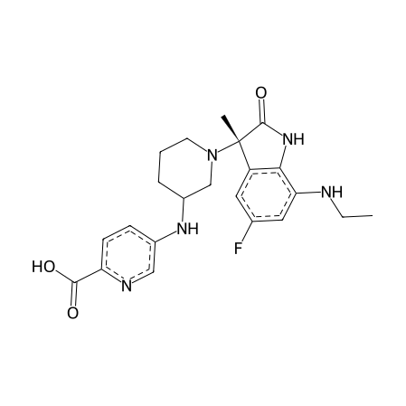 CCNc1cc(F)cc2c1NC(=O)[C@@]2(C)N1CCCC(Nc2ccc(C(=O)O)nc2)C1